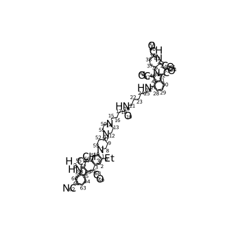 CCc1cc2c(cc1N1CCC(N3CCN(CCCC(=O)NCCCCCNc4cccc5c(=C=O)n(C6CCC(=C=O)NC6=C=O)c(=C=O)c45)CC3)CC1)C(C)(C)c1[nH]c3cc(C#N)ccc3c1C2=C=O